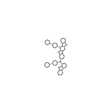 c1ccc(-c2ccc(-c3c4oc5cc(N(c6ccc(-c7ccccc7)cc6)c6cccc7c6oc6ccccc67)ccc5c4cc4oc5ccccc5c34)cc2)cc1